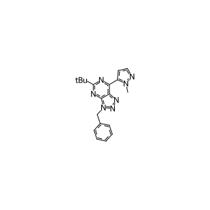 Cn1nccc1-c1nc(C(C)(C)C)nc2c1nnn2Cc1ccccc1